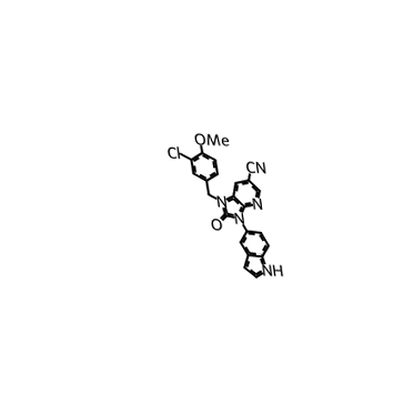 COc1ccc(Cn2c(=O)n(-c3ccc4[nH]ccc4c3)c3ncc(C#N)cc32)cc1Cl